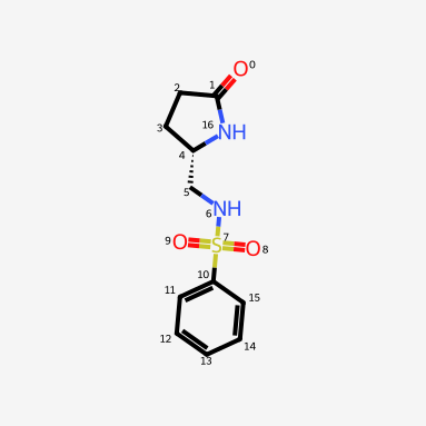 O=C1CC[C@@H](CNS(=O)(=O)c2ccccc2)N1